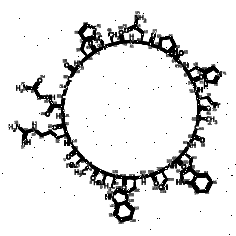 CCCC[C@H]1C(=O)N(C)[C@@H](CCCC)C(=O)N[C@@H](CCCNC(=N)N)C(=O)NC(C(=O)NCC(N)=O)CSCC(=O)N[C@@H](Cc2ccsc2)C(=O)N(C)[C@@H](C)C(=O)N[C@@H](CC(N)=O)C(=O)N2CCC[C@H]2C(=O)N[C@@H](Cc2cnc[nH]2)C(=O)N[C@@H](CC(C)C)C(=O)N(C)CC(=O)N[C@@H](Cc2c[nH]c3ccccc23)C(=O)N[C@@H](CO)C(=O)N[C@@H](Cc2c[nH]c3ccccc23)C(=O)N1C